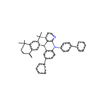 CC1CCC(C)(C)c2cc3c(cc21)B1c2cc(-c4ccccc4)ccc2N(c2ccc(-c4ccccc4)cc2)c2nccc(c21)C3(C)C